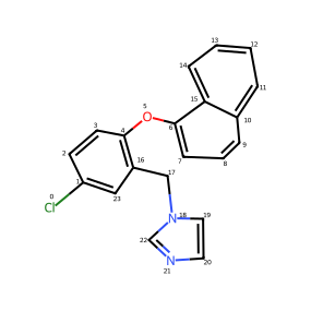 Clc1ccc(Oc2cccc3ccccc23)c(Cn2ccnc2)c1